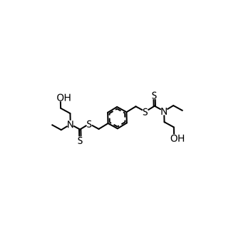 CCN(CCO)C(=S)SCc1ccc(CSC(=S)N(CC)CCO)cc1